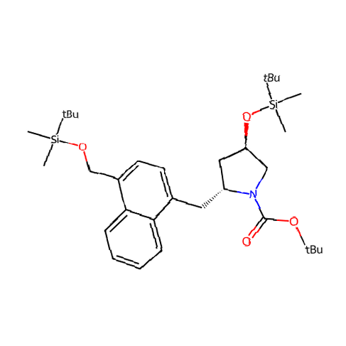 CC(C)(C)OC(=O)N1C[C@H](O[Si](C)(C)C(C)(C)C)C[C@H]1Cc1ccc(CO[Si](C)(C)C(C)(C)C)c2ccccc12